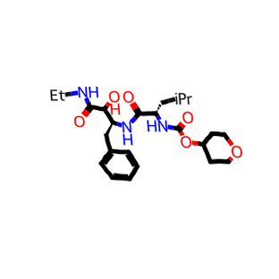 CCNC(=O)C(O)[C@H](Cc1ccccc1)NC(=O)[C@H](CC(C)C)NC(=O)OC1CCOCC1